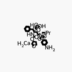 CC(C)CN(CC(OP(=O)(O)O)C(Cc1ccccc1)NC(=O)O[C@H]1CCOC1)S(=O)(=O)c1ccc(N)cc1.[CaH2]